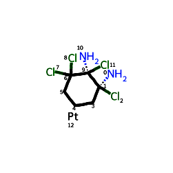 N[C@]1(Cl)CCCC(Cl)(Cl)[C@@]1(N)Cl.[Pt]